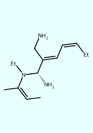 C/C=C(/C)N(CC)[C@@H](N)/C(=C/C=C\CC)CN